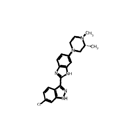 C[C@@H]1CN(c2ccc3nc(-c4n[nH]c5cc(Cl)ccc45)[nH]c3c2)CCN1C